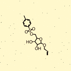 C=CCOC1OC(COS(=O)(=O)c2ccc(C)cc2)[C@H](O)C1O